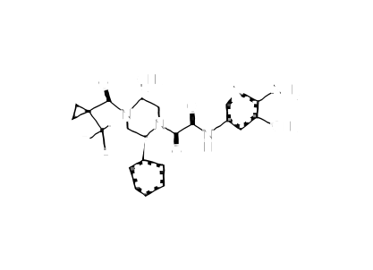 Cc1cc(NC(=O)C(=O)N2C[C@@H](C)N(C(=O)C3(C(F)(F)F)CC3)C[C@@H]2c2ccccc2)cnc1N